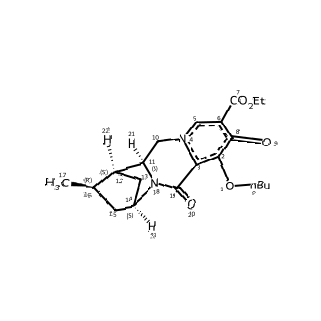 CCCCOc1c2n(cc(C(=O)OCC)c1=O)C[C@@H]1[C@H]3C[C@H](C[C@H]3C)N1C2=O